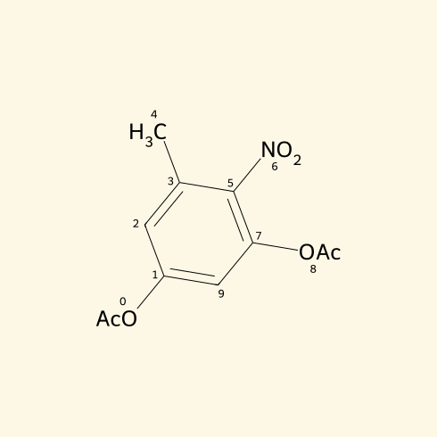 CC(=O)Oc1cc(C)c([N+](=O)[O-])c(OC(C)=O)c1